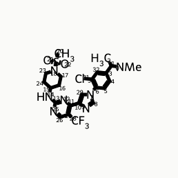 CNC(C)c1ccc(-n2cnc(-c3nc(NC4CCN(S(C)(=O)=O)CC4)ncc3C(F)(F)F)c2)c(Cl)c1